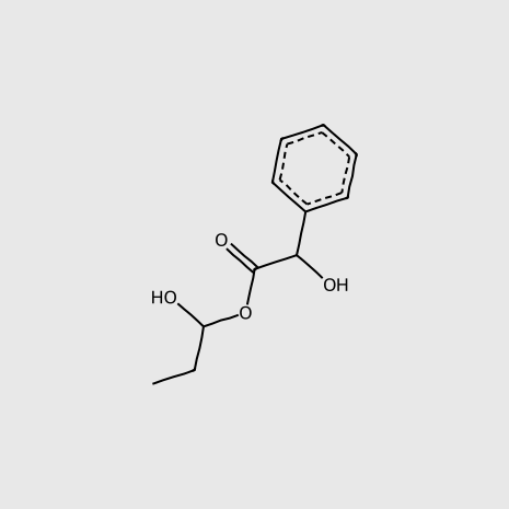 CCC(O)OC(=O)C(O)c1ccccc1